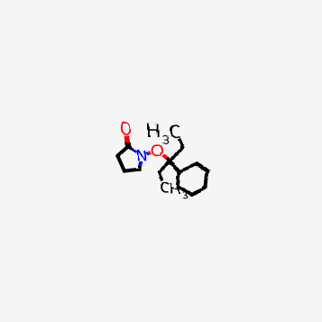 CCC(CC)(ON1CCCC1=O)C1CCCCC1